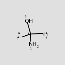 CC(C)C(N)(O)C(C)C